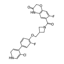 O=C1COc2cc(F)c(C(=O)N3CC(COc4ccc(C5=CCNC=C5Cl)cc4F)C3)cc2N1